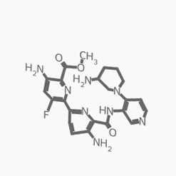 COC(=O)c1nc(-c2ccc(N)c(C(=O)Nc3cnccc3N3CCCC(N)C3)n2)c(F)cc1N